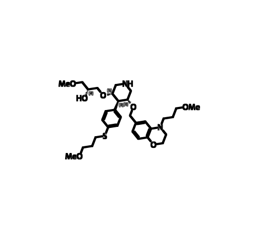 COCCCSc1ccc([C@@H]2[C@@H](OCc3ccc4c(c3)N(CCCOC)CCO4)CNC[C@H]2OC[C@H](O)COC)cc1